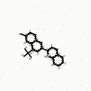 Cc1ccc2cc(-c3ccc4ccccc4n3)cc(C(C)(C)C)c2c1